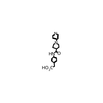 O=C(O)Cc1ccc(NC(=O)C2CCN(c3ccncc3)CC2)cc1